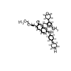 CCOC#Cc1cc2cnc(Nc3ccc(N4CCNCC4)cc3)nc2n(Cc2nn(C)cc2C2CCOCC2)c1=O